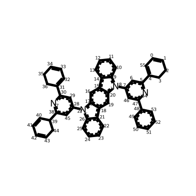 C1=CCCC(c2cc(-n3c4ccccc4c4cc5c(cc43)c3ccccc3n5-c3cc(C4=CC=CCC4)nc(C4C=CC=CC4)c3)cc(-c3ccccc3)n2)=C1